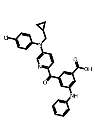 O=C(O)c1cc(Nc2ccccc2)cc(C(=O)c2ccc(N(CC3CC3)c3ccc(Cl)cc3)cn2)c1